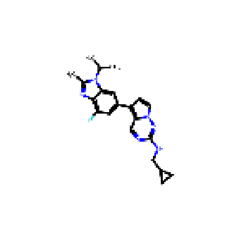 Cc1nc2c(F)cc(-c3ccn4nc(NCC5CC5)ncc34)cc2n1C(C)C